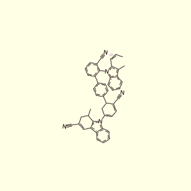 C/C=C\c1c(C)c2ccccc2n1-c1c(C#N)cccc1-c1ccc(C2CC(n3c4c(c5ccccc53)C=C(C#N)CC4C)=CC=C2C#N)cc1